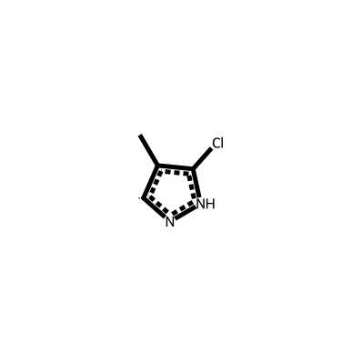 Cc1[c]n[nH]c1Cl